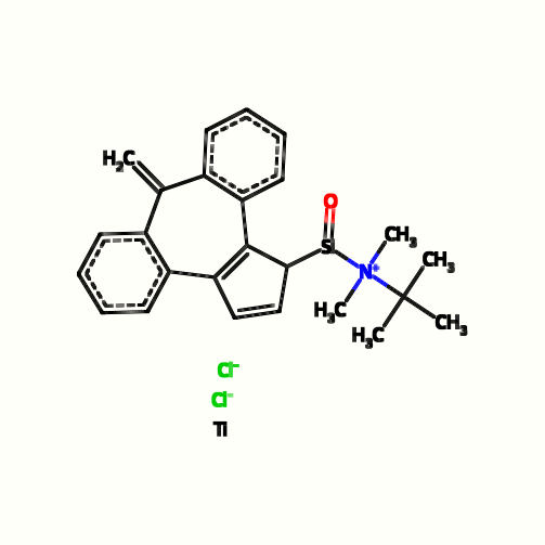 C=C1c2ccccc2C2=C(c3ccccc31)C([Si](=O)[N+](C)(C)C(C)(C)C)C=C2.[Cl-].[Cl-].[Ti]